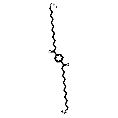 CCCCCCCCCCCCCC(=O)c1ccc(C(=O)CCCCCCCCCCCCC)cc1